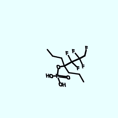 CCCC(CCC)(OP(=O)(O)O)C(F)(F)C(F)(F)CF